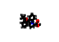 COC(=O)c1cccc(C(O[SiH2]C(C)(C)C)(c2ccccc2)c2ccccc2)n1